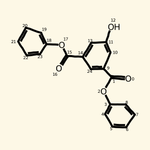 O=C(Oc1ccccc1)c1cc(O)cc(C(=O)Oc2ccccc2)c1